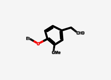 CCOc1ccc(CC=O)cc1OC